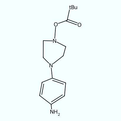 CC(C)(C)C(=O)ON1CCN(c2ccc(N)cc2)CC1